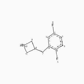 Fc1ccc(F)c(CC2CNC2)c1